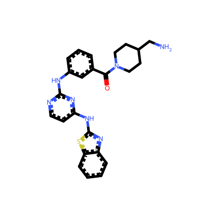 NCC1CCN(C(=O)c2cccc(Nc3nccc(Nc4nc5ccccc5s4)n3)c2)CC1